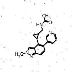 CC(=O)NCC1CC1c1c(-c2cccnc2)ccc2nn(C)cc12